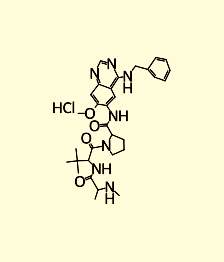 CNC(C)C(=O)NC(C(=O)N1CCCC1C(=O)Nc1cc2c(NCc3ccccc3)ncnc2cc1OC)C(C)(C)C.Cl